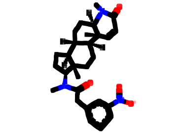 CN(C(=O)Cc1cccc([N+](=O)[O-])c1)[C@H]1CC[C@H]2[C@@H]3CC[C@H]4N(C)C(=O)C=C[C@]4(C)[C@H]3CC[C@]12C